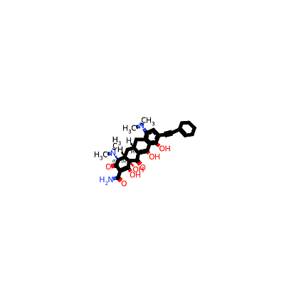 CN(C)c1cc(C#CC2=CCCCC2)c(O)c2c1C[C@H]1C[C@H]3[C@H](N(C)C)C(=O)C(C(N)=O)=C(O)[C@@]3(O)C(=O)C1=C2O